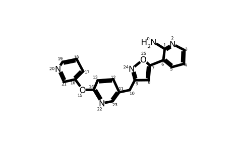 Nc1ncccc1-c1cc(Cc2ccc(Oc3cccnc3)nc2)no1